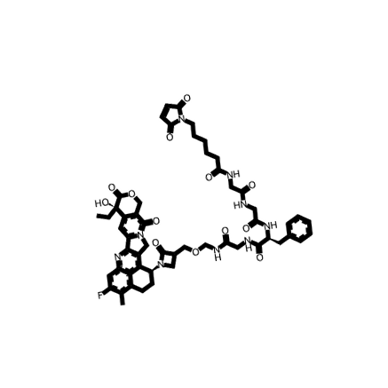 CC[C@@]1(O)C(=O)OCc2c1cc1n(c2=O)Cc2c-1nc1cc(F)c(C)c3c1c2[C@@H](N1CC(COCNC(=O)CNC(=O)[C@H](Cc2ccccc2)NC(=O)CNC(=O)CNC(=O)CCCCCN2C(=O)C=CC2=O)C1=O)CC3